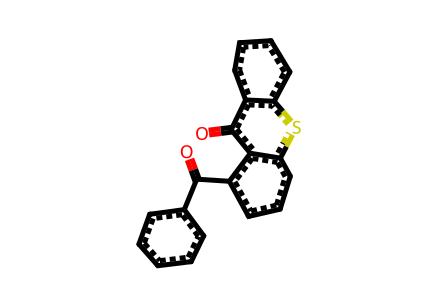 O=C(c1ccccc1)c1cccc2sc3ccccc3c(=O)c12